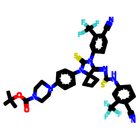 CC(C)(C)OC(=O)N1CCN(c2ccc(N3C(=S)N(c4ccc(C#N)c(C(F)(F)F)c4)C(=NC(=S)Nc4ccc(C#N)c(C(F)(F)F)c4)C34CCC4)cc2)CC1